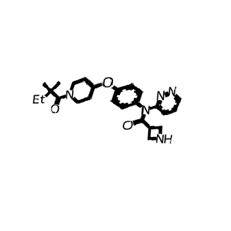 CCC(C)(C)C(=O)N1CCC(Oc2ccc(N(C(=O)C3CNC3)c3cccnn3)cc2)CC1